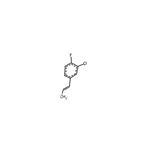 [CH2]C=Cc1ccc(F)c(Cl)c1